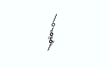 CCCCCCC[C@H]1CC[C@H](CCCOc2ccc(OC(=O)c3ccc(OCCCCC)c(F)c3)cc2)CC1